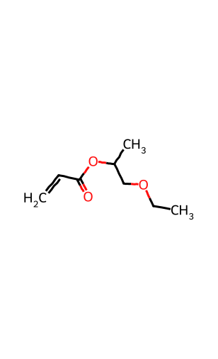 C=CC(=O)OC(C)COCC